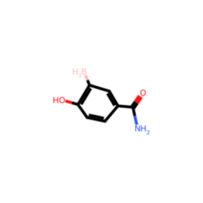 Bc1cc(C(N)=O)ccc1O